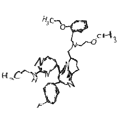 CCNc1nccc(-c2c(-c3ccc(F)cc3)nc3n2C(CN(CCOC)Cc2ccccc2OCC)CC3)n1